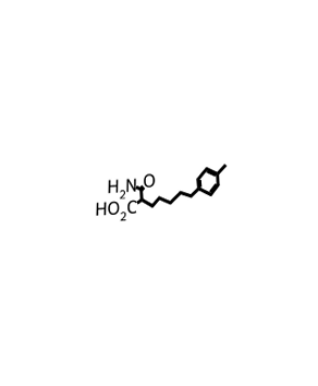 Cc1ccc(CCCCCC(C(N)=O)C(=O)O)cc1